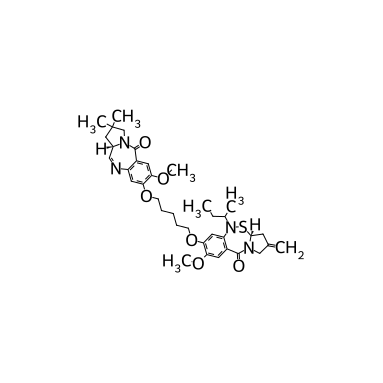 C=C1C[C@H]2SN(C(C)CC)c3cc(OCCCCCOc4cc5c(cc4OC)C(=O)N4CC(C)(C)C[C@H]4C=N5)c(OC)cc3C(=O)N2C1